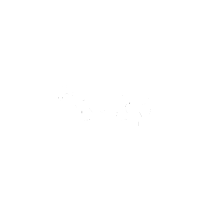 COC(=O)[C@H]1CC[C@@]12CCCc1ccc(OCc3ccc(-c4cc(OC)ccc4F)c([C@@H]4CCCC4(C)C)c3)cc12